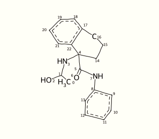 CC(O)NC1(C(=O)Nc2ccccc2)CCCc2ccccc21